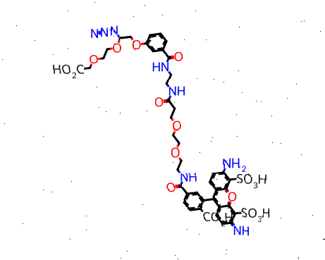 [N-]=[N+]=NC(COc1cccc(C(=O)NCCNC(=O)CCOCCOCCNC(=O)c2ccc(C(=O)O)c(-c3c4ccc(=N)c(S(=O)(=O)O)c-4oc4c(S(=O)(=O)O)c(N)ccc34)c2)c1)OCCOCC(=O)O